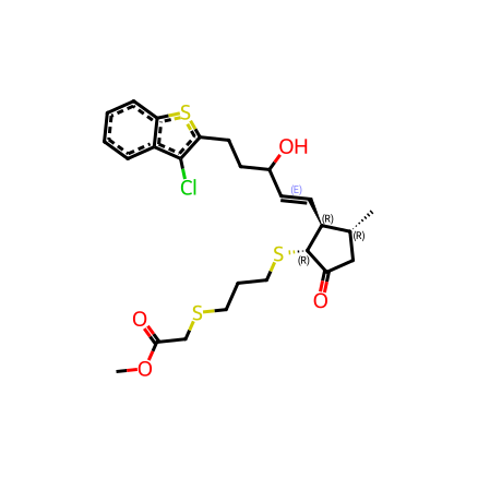 COC(=O)CSCCCS[C@H]1C(=O)C[C@@H](C)[C@@H]1/C=C/C(O)CCc1sc2ccccc2c1Cl